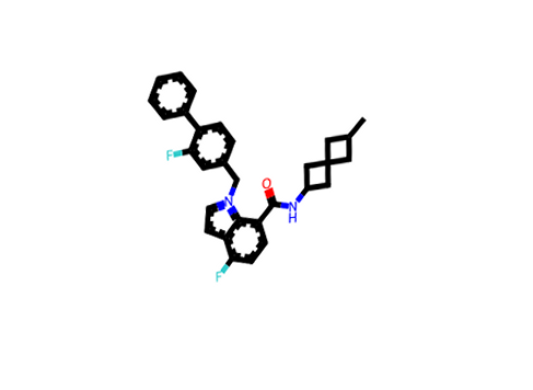 CC1CC2(C1)CC(NC(=O)c1ccc(F)c3ccn(Cc4ccc(-c5ccccc5)c(F)c4)c13)C2